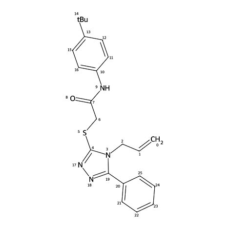 C=CCn1c(SCC(=O)Nc2ccc(C(C)(C)C)cc2)nnc1-c1ccccc1